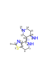 Cc1nc2c(s1)CCN/C2=C1/CN(C)CCC1=N